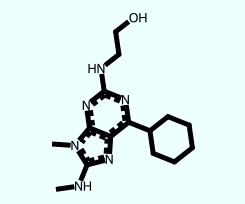 CNc1nc2c(C3CCCCC3)nc(NCCO)nc2n1C